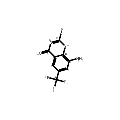 Nc1cc(C(F)(F)F)cc2c(=O)nc(I)sc12